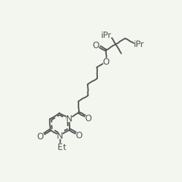 CCn1c(=O)ccn(C(=O)CCCCCOC(=O)C(C)(CC(C)C)C(C)C)c1=O